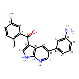 Cc1ccc(F)cc1C(=O)c1c[nH]c2ncc(-c3cccc(N)c3)cc12